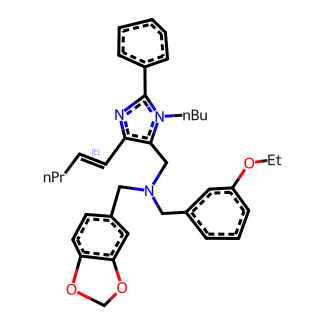 CCC/C=C/c1nc(-c2ccccc2)n(CCCC)c1CN(Cc1cccc(OCC)c1)Cc1ccc2c(c1)OCO2